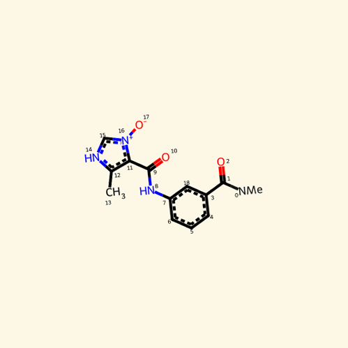 CNC(=O)c1cccc(NC(=O)c2c(C)[nH]c[n+]2[O-])c1